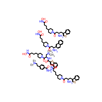 CCN(CC)CCc1ccc(C(N)=O)cc1.CN(C)CC(NC(=O)c1cc2ccccc2s1)C(=O)N1CCC(CCCC(=O)NO)CC1.N[C@@H](CC(=O)N1CCC(CCCC(=O)NO)CC1)Cc1csc2ccccc12.N[C@@H](CC(=O)N1CCC(CCCC(=O)NO)CC1)c1ccc2ccccc2c1.N[C@H](CC(=O)N1CCC(CCCC(=O)NO)CC1)Cc1csc2ccccc12